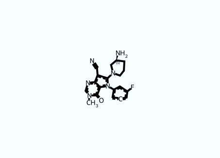 Cn1cnc2c(C#N)c(N3CCC[C@H](N)C3)n(-c3cccc(F)c3)c2c1=O